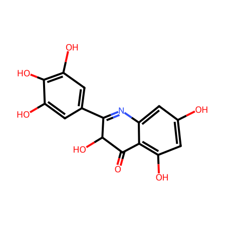 O=C1c2c(O)cc(O)cc2N=C(c2cc(O)c(O)c(O)c2)C1O